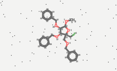 COC1O[C@](CF)(COCc2ccccc2)[C@@H](OCc2ccccc2)[C@H]1OCc1ccccc1